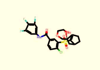 O=C(Nc1cc(F)c(F)c(F)c1)c1ccc(Cl)c(S(=O)(=O)C2=C3CCC2C[C@]3(O)COCCO)c1